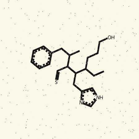 CCC(CCCO)C(Cc1c[nH]cn1)[C](C=S)C(C)Cc1ccccc1